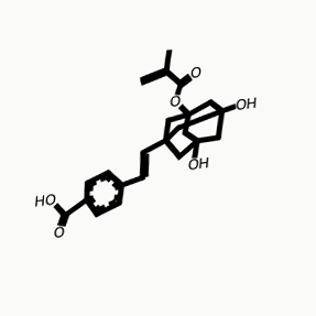 C=C(C)C(=O)OC12CC3(O)CC(O)(CC(/C=C/c4ccc(C(=O)O)cc4)(C3)C1)C2